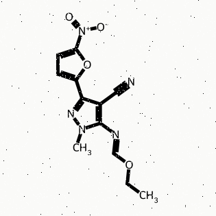 CCOC=Nc1c(C#N)c(-c2ccc([N+](=O)[O-])o2)nn1C